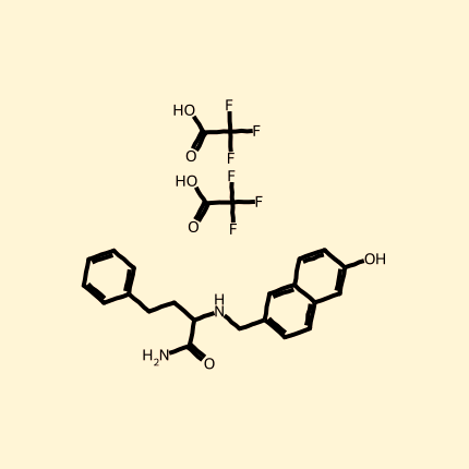 NC(=O)C(CCc1ccccc1)NCc1ccc2cc(O)ccc2c1.O=C(O)C(F)(F)F.O=C(O)C(F)(F)F